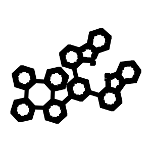 c1ccc2c(c1)-c1ccccc1-c1cccc(-c3cc(-c4cccc5c4sc4ccccc45)cc(-c4cccc5c4sc4ccccc45)c3)c1-c1ccccc1-2